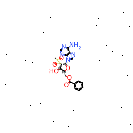 CS(=O)(=O)[C@@H]1[C@H](O)[C@@H](COC(=O)c2ccccc2)O[C@H]1n1cnc2c(N)ncnc21